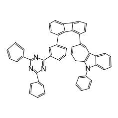 C1=CC(c2cccc3c2-c2c(-c4cccc(-c5nc(-c6ccccc6)nc(-c6ccccc6)n5)c4)cccc2-3)=Cc2c(n(-c3ccccc3)c3ccccc23)C1